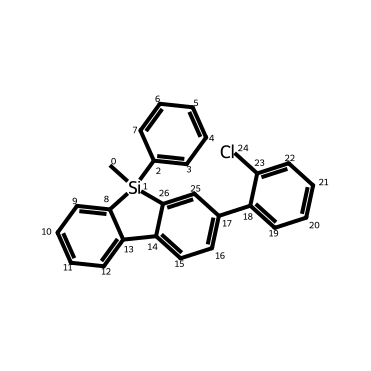 C[Si]1(c2ccccc2)c2ccccc2-c2ccc(-c3ccccc3Cl)cc21